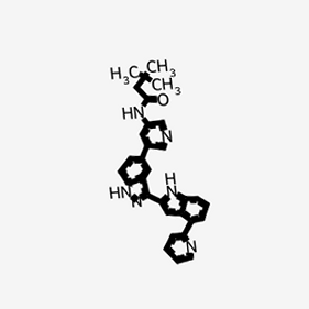 CC(C)(C)CC(=O)Nc1cncc(-c2ccc3[nH]nc(-c4cc5c(-c6ccccn6)cccc5[nH]4)c3c2)c1